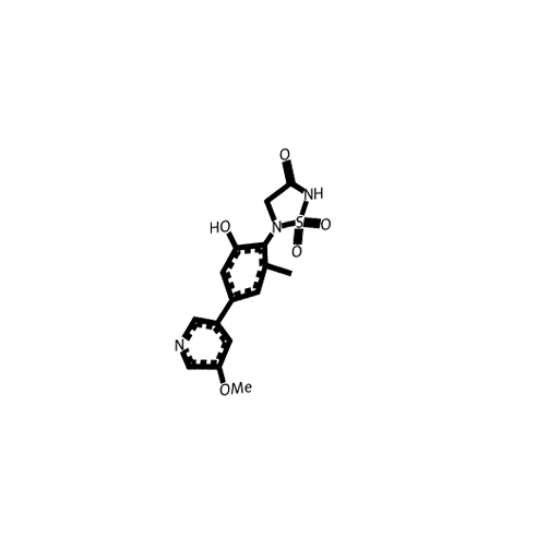 COc1cncc(-c2cc(C)c(N3CC(=O)NS3(=O)=O)c(O)c2)c1